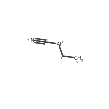 C[CH2][Al][C]#N